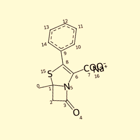 CC12CC(=O)N1C(C(=O)[O-])=C(c1ccccc1)S2.[Na+]